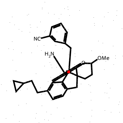 COC1CCC2(CC1)Cc1ccc(CCC3CC3)cc1C21N=C(N)N(Cc2cccc(C#N)c2)C1=O